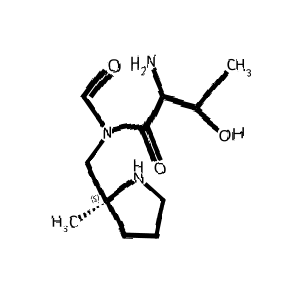 CC(O)C(N)C(=O)N(C=O)C[C@]1(C)CCCN1